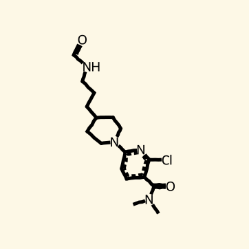 CN(C)C(=O)c1ccc(N2CCC(CCCNC=O)CC2)nc1Cl